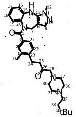 Cc1cc(C(=O)N2Cc3cnn(C)c3Nc3ccccc32)ccc1CCC(=O)CN1CCN(CCC(C)(C)C)CC1